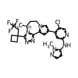 C[C@H]1CCn2cc(-c3cc(Nc4ccnn4C)ncc3Cl)cc2-c2nnc(C3(CC(F)(F)F)CCC3)n21